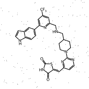 O=C1NC(=O)C(=Cc2ccnc(N3CCC(CNCc4cc(C(F)(F)F)cc(-c5ccc6[nH]ccc6c5)n4)CC3)n2)S1